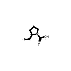 O=C(O)N1CCCC1CI